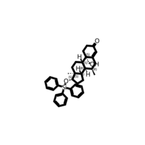 C[C@@H]1CC2=CC(=O)CC[C@]2(CO)[C@H]2CC[C@]3(C)[C@@H](O[Si](c4ccccc4)(c4ccccc4)c4ccccc4)CC[C@H]3[C@H]12